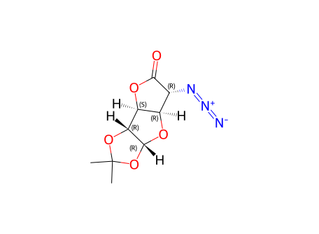 CC1(C)O[C@H]2O[C@H]3[C@H](OC(=O)[C@@H]3N=[N+]=[N-])[C@H]2O1